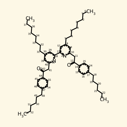 CCCCCCCCc1cc(CC(=O)c2ccc(CCCCCC)cc2)nc(-c2cc(CCCCCCCC)cc(CC(=O)c3ccc(CCCCCC)cc3)n2)c1